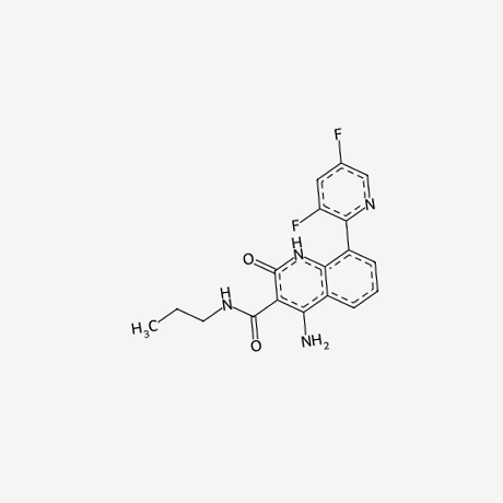 CCCNC(=O)c1c(N)c2cccc(-c3ncc(F)cc3F)c2[nH]c1=O